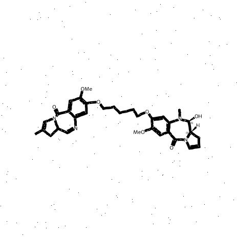 COc1cc2c(cc1OCCCCCOc1cc3c(cc1OC)C(=O)N1C=CC[C@H]1[C@H](O)N3C)N=CC1CC(C)=CN1C2=O